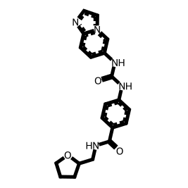 O=C(Nc1ccc(C(=O)NCC2CCCO2)cc1)Nc1ccc2nccn2c1